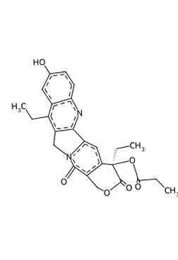 CCC(=O)O[C@@]1(CC)C(=O)OCc2c1cc1n(c2=O)Cc2c-1nc1ccc(O)cc1c2CC